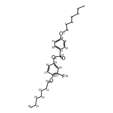 CCCCCCCOc1ccc(C(=O)Oc2ccc(OCCCCCCC)c(F)c2)cc1